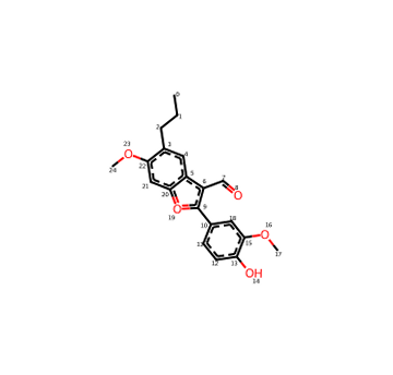 CCCc1cc2c(C=O)c(-c3ccc(O)c(OC)c3)oc2cc1OC